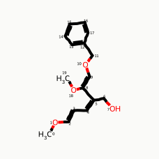 CO/C=C/C=C(CO)\C(=C\OCc1ccccc1)OC